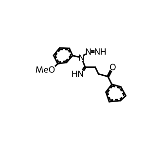 COc1cccc(N(N=N)C(=N)CCC(=O)c2ccccc2)c1